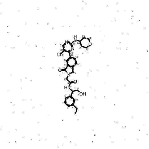 CCc1cccc(C(CO)NC(=O)CN2Cc3ccc(-c4nc(NC5CCOCC5)ncc4Cl)cc3C2=O)c1